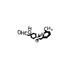 Cc1cccc(CS(=O)(=O)[C@H]2CC[C@@](O)(CC=O)CC2)n1